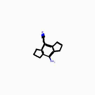 N#Cc1c2c(c(N)c3c1CCC3)CCC2